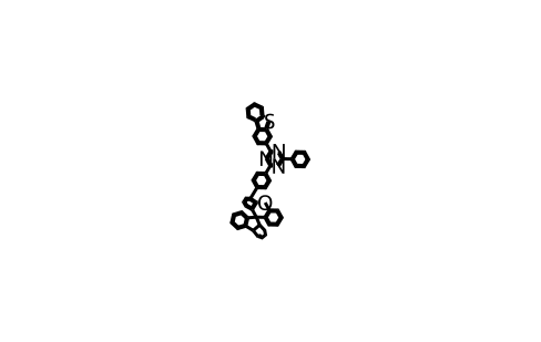 C1=CC2c3ccccc3C3(c4ccccc4Oc4c(-c5ccc(-c6nc(-c7ccccc7)nc(-c7ccc8c(c7)sc7ccccc78)n6)cc5)cccc43)C2CC1